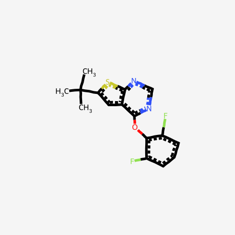 CC(C)(C)c1cc2c(Oc3c(F)cccc3F)ncnc2s1